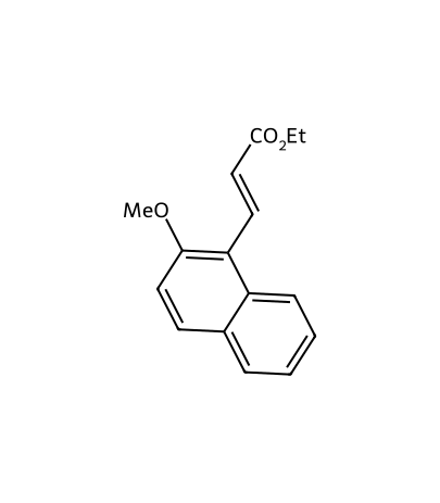 CCOC(=O)C=Cc1c(OC)ccc2ccccc12